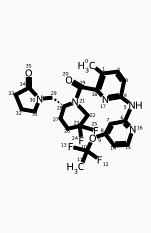 Cc1ccc(Nc2cc(OC(C)(F)F)ccn2)nc1C(=O)N1CC(F)(F)CC[C@@H]1CN1CCCC1=O